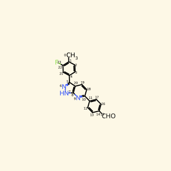 Cc1ccc(-c2n[nH]c3nc(-c4ccc(C=O)cc4)ccc23)cc1F